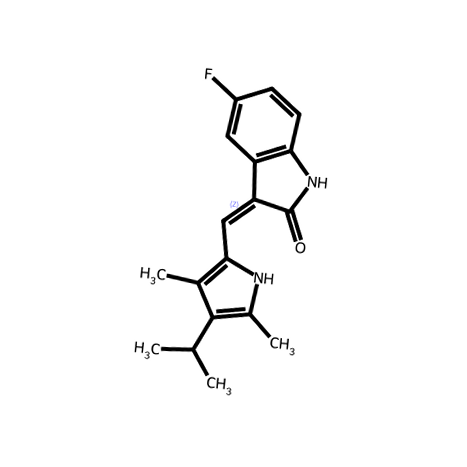 Cc1[nH]c(/C=C2\C(=O)Nc3ccc(F)cc32)c(C)c1C(C)C